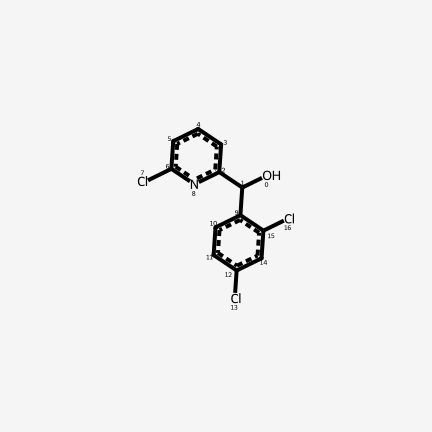 OC(c1cccc(Cl)n1)c1ccc(Cl)cc1Cl